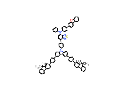 CC1(C)c2ccccc2-c2ccc(-c3ccc(-c4ccc5c(c4)c4cc(-c6ccc(-c7ccc8c(c7)C(C)(C)c7ccccc7-8)cc6)ccc4n5-c4ccc(-c5ccc(N(c6ccccc6)c6ccc(-c7ccc8c(c7)oc7ccccc78)cc6)c6nsnc56)cc4)cc3)cc21